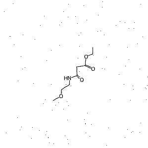 CCOC(=O)CC(=O)NCCOC